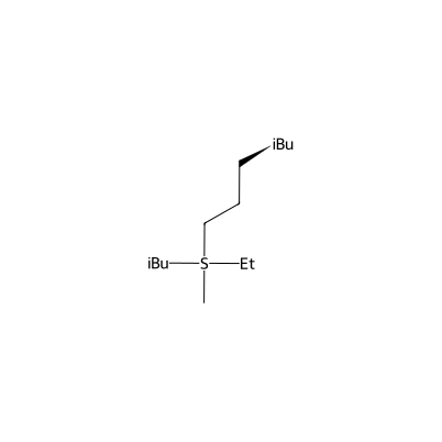 CCC(C)S(C)(CC)CCC[C@H](C)CC